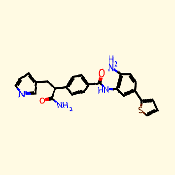 NC(=O)[C](Cc1cccnc1)c1ccc(C(=O)Nc2cc(-c3cccs3)ccc2N)cc1